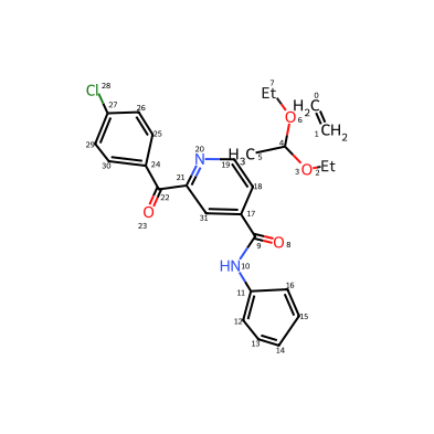 C=C.CCOC(C)OCC.O=C(Nc1ccccc1)c1ccnc(C(=O)c2ccc(Cl)cc2)c1